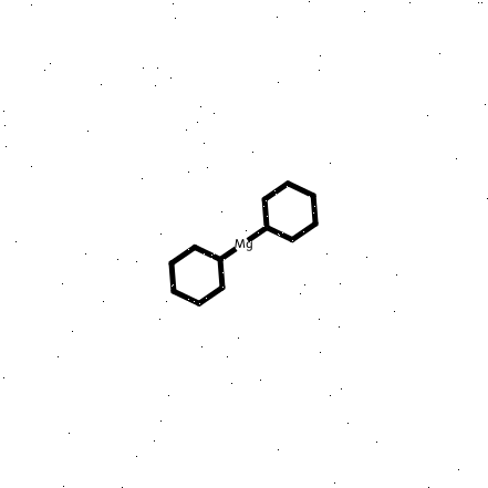 C1CC[CH]([Mg][CH]2CCCCC2)CC1